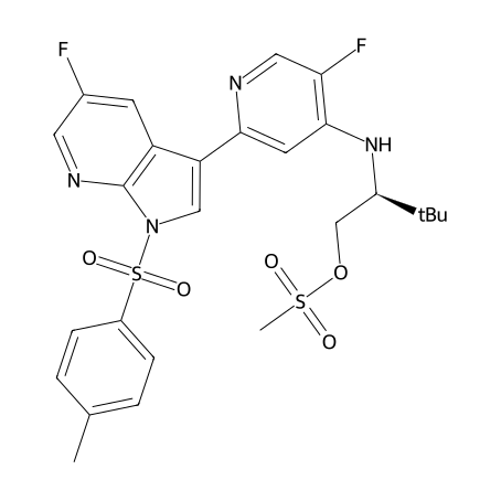 Cc1ccc(S(=O)(=O)n2cc(-c3cc(N[C@H](COS(C)(=O)=O)C(C)(C)C)c(F)cn3)c3cc(F)cnc32)cc1